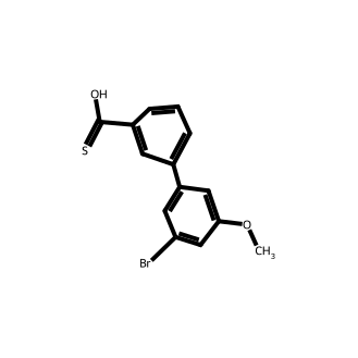 COc1cc(Br)cc(-c2cccc(C(O)=S)c2)c1